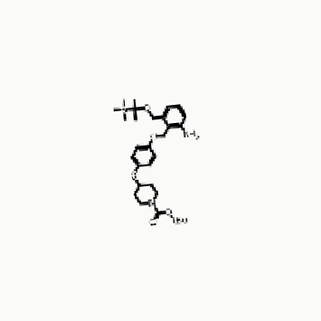 CC(C)(C)OC(=O)N1CCC(Oc2ccc(OCc3c(N)cccc3COC(C)(C)[Si](C)(C)C)cc2)CC1